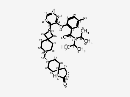 CC(C)N(C(=O)c1cc(F)ccc1Oc1nncnc1N1CC2(CCN(C[C@H]3CC[C@@]4(CC3)COC(=O)N4)CC2)C1)C(C)C